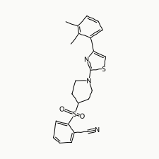 Cc1cccc(-c2csc(N3CCC(S(=O)(=O)c4ccccc4C#N)CC3)n2)c1C